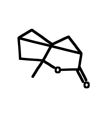 CC12CC3CC1CC3C(=O)O2